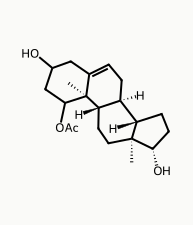 CC(=O)OC1CC(O)CC2=CC[C@H]3[C@@H]4CC[C@H](O)[C@@]4(C)CC[C@@H]3[C@]21C